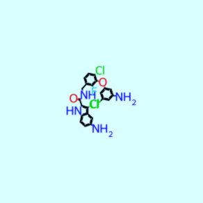 Nc1cc(Cl)cc(Oc2c(Cl)ccc(CNC(=O)c3[nH]c4ccc(N)cc4c3Cl)c2F)c1